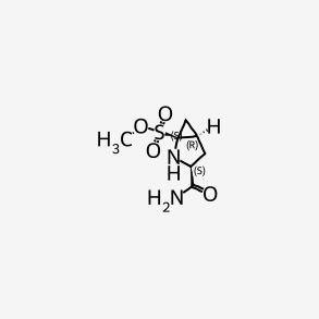 COS(=O)(=O)[C@@]12C[C@H]1C[C@@H](C(N)=O)N2